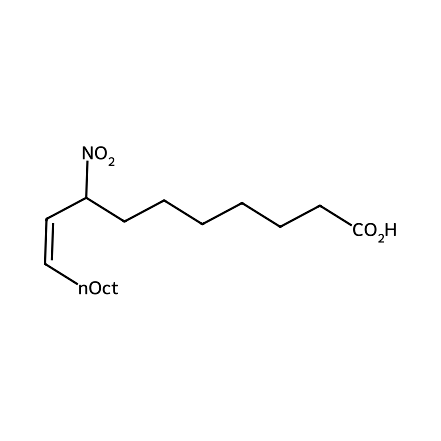 CCCCCCCC/C=C\C(CCCCCCC(=O)O)[N+](=O)[O-]